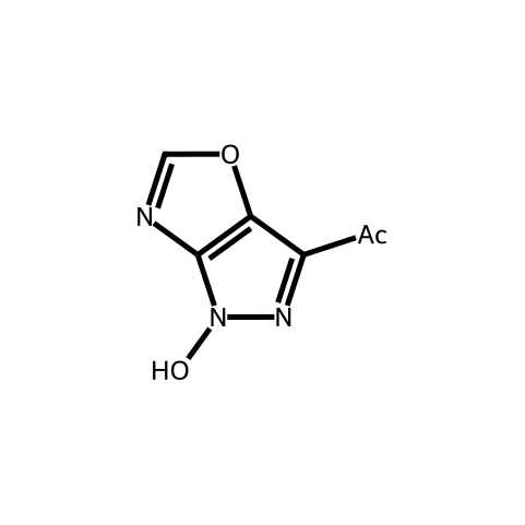 CC(=O)c1nn(O)c2ncoc12